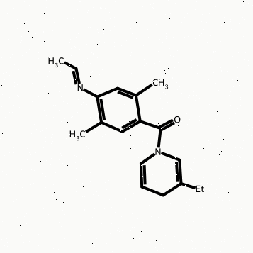 C/C=N/c1cc(C)c(C(=O)N2C=CCC(CC)=C2)cc1C